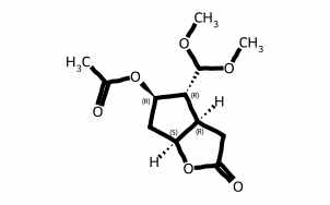 COC(OC)[C@@H]1[C@H]2CC(=O)O[C@H]2C[C@H]1OC(C)=O